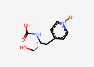 O=C(O)N[C@@H](CO)Cc1cc[n+]([O-])cc1